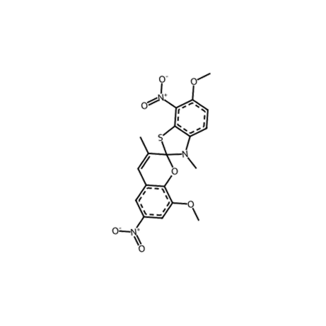 COc1cc([N+](=O)[O-])cc2c1OC1(Sc3c(ccc(OC)c3[N+](=O)[O-])N1C)C(C)=C2